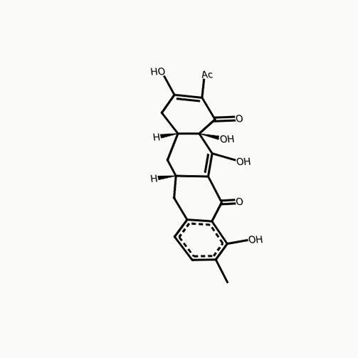 CC(=O)C1=C(O)C[C@H]2C[C@H]3Cc4ccc(C)c(O)c4C(=O)C3=C(O)[C@@]2(O)C1=O